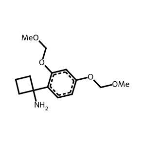 COCOc1ccc(C2(N)CCC2)c(OCOC)c1